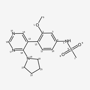 COc1cc(NS(C)(=O)=O)ccc1-c1cncnc1N1CCCC1